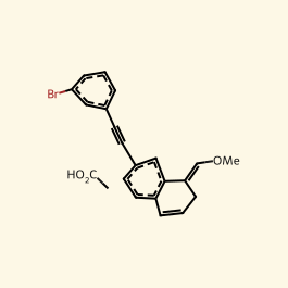 CC(=O)O.COC=C1CC=Cc2ccc(C#Cc3cccc(Br)c3)cc21